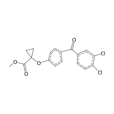 COC(=O)C1(Oc2ccc(C(=O)c3ccc(Cl)c(Cl)c3)cc2)CC1